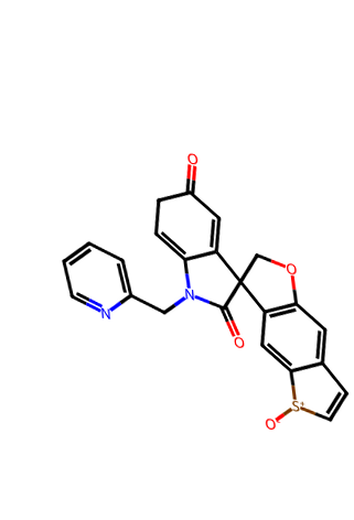 O=C1C=C2C(=CC1)N(Cc1ccccn1)C(=O)C21COc2cc3cc[s+]([O-])c3cc21